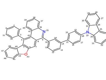 c1ccc(-c2c3c(cc4c(-c5cccc(-c6ccc(-n7c8ccccc8c8ccccc87)cc6)c5)nc5ccccc5c24)oc2ccccc23)cc1